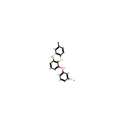 Cc1ccc(Sc2c(Cl)cccc2Oc2cccc(F)c2)cc1